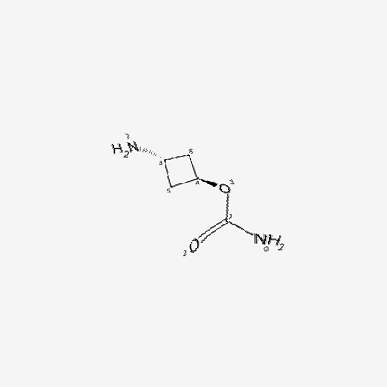 NC(=O)O[C@H]1C[C@H](N)C1